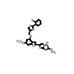 COc1cc(OCc2csc(-c3ccccc3F)n2)c2cc(-c3cn4c(n3)SC(OC)N4)oc2c1